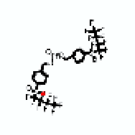 O=[PH](OCc1ccc(S(=O)(=O)C(F)(F)C(F)(F)C(F)(F)C(F)(F)F)cc1)OCc1ccc(S(=O)(=O)C(F)(F)C(F)(F)C(F)(F)C(F)(F)F)cc1